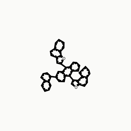 c1ccc2c(-c3ccc4c(-c5coc6ccc7ccccc7c56)c5ccccc5c(-c5cc6ccc7ccccc7c6o5)c4c3)cccc2c1